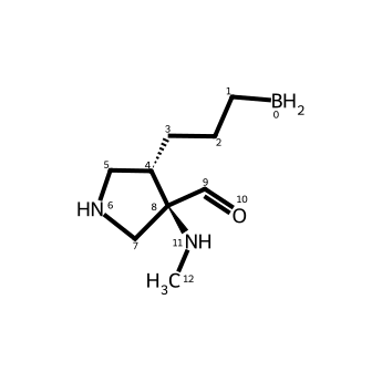 BCCC[C@H]1CNC[C@]1(C=O)NC